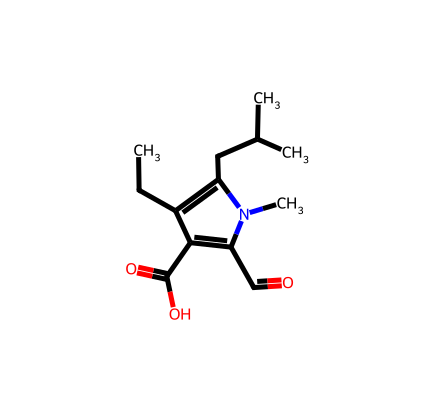 CCc1c(C(=O)O)c(C=O)n(C)c1CC(C)C